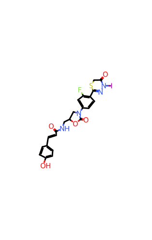 O=C(C=Cc1ccc(O)cc1)NCC1CN(c2ccc(C3=NN(I)C(=O)CS3)c(F)c2)C(=O)O1